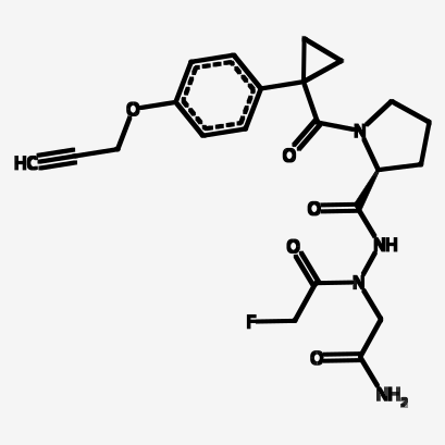 C#CCOc1ccc(C2(C(=O)N3CCC[C@H]3C(=O)NN(CC(N)=O)C(=O)CF)CC2)cc1